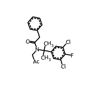 CC(=O)CN(C(=O)Cc1ccccc1)C(C)(C)c1cc(Cl)c(F)c(Cl)c1